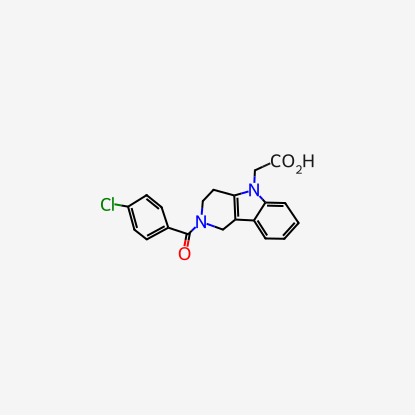 O=C(O)Cn1c2c(c3ccccc31)CN(C(=O)c1ccc(Cl)cc1)CC2